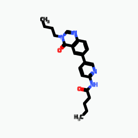 CCCCC(=O)Nc1ccc(-c2ccc3ncn(CCCC)c(=O)c3c2)cn1